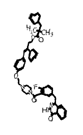 CC(C)(Cc1ccccc1)C(=O)OCCC(=Cc1ccc(OCCN2CCN(C(=O)c3cc(Cc4n[nH]c(=O)c5ccccc45)ccc3F)CC2)cc1)c1ccccc1